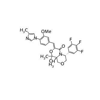 COc1cc(/C=C2\OC(C)(C)[C@H]3COC[C@@H](c4cc(F)c(F)c(F)c4)N3C2=O)ccc1-n1cnc(C)c1